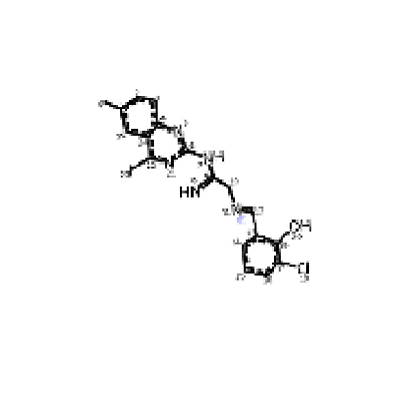 Cc1ccc2nc(NC(=N)C/N=C/c3cccc(Cl)c3O)nc(I)c2c1